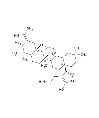 CC1(C)CC[C@]2(c3n[nH]c(O)c3CCN)CC[C@]3(C)C(=CCC4[C@@]5(C)Cc6c(n[nH]c6N)C(C)(C)C5CC[C@]43C)C2C1